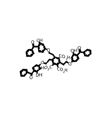 O=C(c1ccccc1)c1ccc(OCCc2c(CCOc3ccc(C(=O)c4ccccc4)c(O)c3)c(C(=O)O)c(C(=O)O)c(CCOc3ccc(C(=O)c4ccccc4)c(O)c3)c2C(=O)O)cc1O